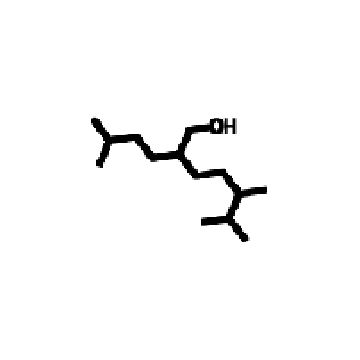 CC(C)CCC(CO)CCC(C)C(C)C